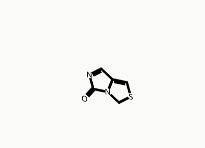 O=C1N=CC2=CSCN12